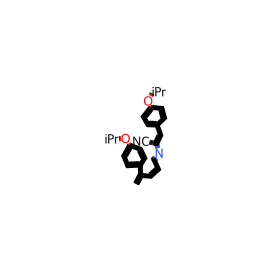 C=C(\C=C/C=N/C(C#N)=C/c1ccc(OC(C)C)cc1)c1ccc(OC(C)C)cc1